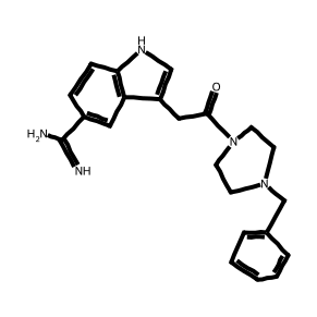 N=C(N)c1ccc2[nH]cc(CC(=O)N3CCN(Cc4ccccc4)CC3)c2c1